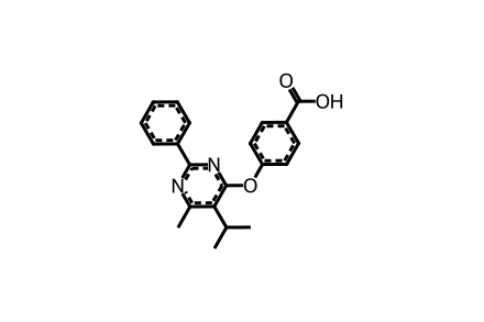 Cc1nc(-c2ccccc2)nc(Oc2ccc(C(=O)O)cc2)c1C(C)C